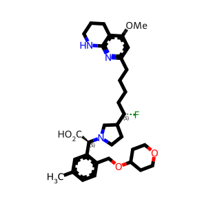 COc1cc(CCCC[C@H](F)C2CCN([C@H](C(=O)O)c3cc(C)ccc3COC3CCOCC3)C2)nc2c1CCCN2